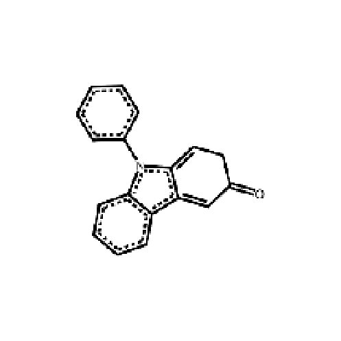 O=C1C=c2c(n(-c3ccccc3)c3ccccc23)=CC1